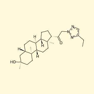 CCc1cnn(CC(=O)[C@H]2CC[C@H]3[C@@H]4CC[C@H]5C[C@](C)(O)CC[C@]5(C)[C@H]4CC[C@]23C)n1